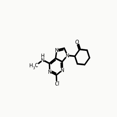 CNc1nc(Cl)nc2c1ncn2C1CCCCC1=O